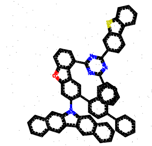 c1ccc(-c2nc(-c3ccc4c(c3)sc3ccccc34)nc(-c3cccc4oc5cc(-n6c7cc8ccccc8cc7c7cc8ccccc8cc76)c(-c6ccc(-c7ccccc7)c7ccccc67)cc5c34)n2)cc1